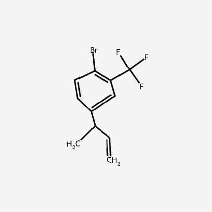 [CH2]C(C=C)c1ccc(Br)c(C(F)(F)F)c1